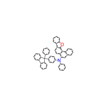 c1ccc(N(c2ccc(C3(c4ccccc4)c4ccccc4-c4ccccc43)cc2)c2cc3ccccc3c3c2ccc2c4ccccc4oc23)cc1